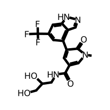 Cn1cc(C(=O)NCC(O)CO)cc(-c2cc(C(F)(F)F)cc3[nH]ncc23)c1=O